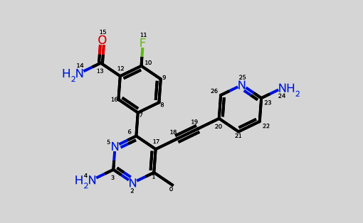 Cc1nc(N)nc(-c2ccc(F)c(C(N)=O)c2)c1C#Cc1ccc(N)nc1